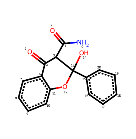 NC(=O)C1C(=O)c2ccccc2OC1(O)c1ccccc1